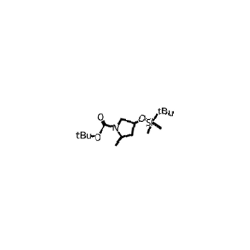 CC1CC(O[Si](C)(C)C(C)(C)C)CN1C(=O)OC(C)(C)C